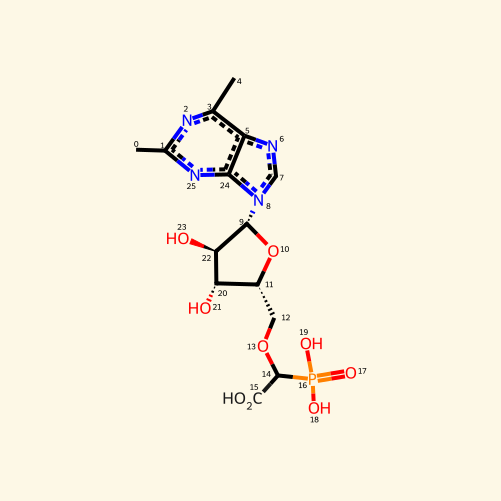 Cc1nc(C)c2ncn([C@@H]3O[C@H](COC(C(=O)O)P(=O)(O)O)[C@H](O)[C@H]3O)c2n1